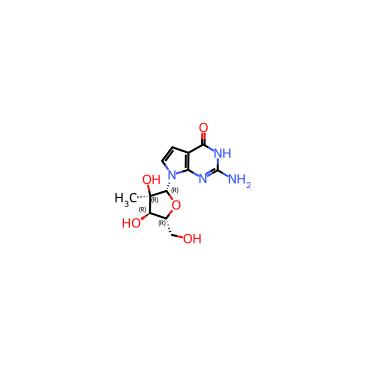 C[C@@]1(O)[C@H](O)[C@@H](CO)O[C@H]1n1ccc2c(=O)[nH]c(N)nc21